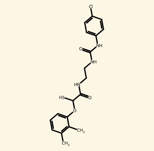 Cc1cccc(OC(S)C(=O)NCCNC(=O)Nc2ccc(Cl)cc2)c1C